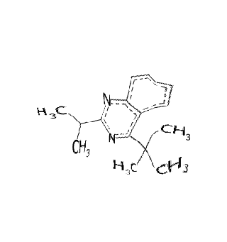 CC(C)c1nc(C(C)(C)C)c2ccccc2n1